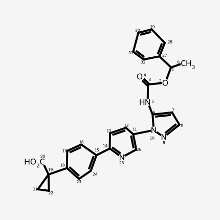 CC(OC(=O)Nc1ccnn1-c1ccc(-c2ccc(C3(C(=O)O)CC3)cc2)nc1)c1ccccc1